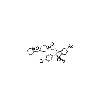 CC(=O)c1ccc2c(c1)c(CCC(=O)N1CCC(O)(Cc3ccccc3)CC1)c(-c1ccc(Cl)cc1)n2C